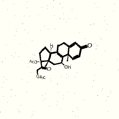 CC(=O)OCC(=O)[C@@]1(OC(C)=O)CC[C@H]2C3=C([C@@H](O)C[C@@]21C)[C@@]1(C)C=CC(=O)C=C1CC3